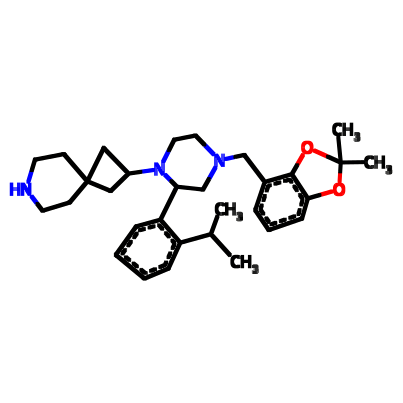 CC(C)c1ccccc1C1CN(Cc2cccc3c2OC(C)(C)O3)CCN1C1CC2(CCNCC2)C1